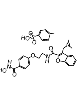 CN(C)Cc1c(C(=O)NCCOc2ccc(C(=O)NO)cc2)oc2ccccc12.Cc1ccc(S(=O)(=O)O)cc1